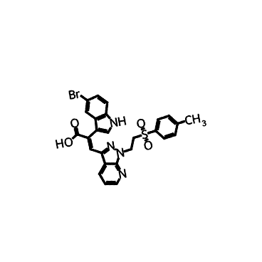 Cc1ccc(S(=O)(=O)CCn2nc(/C=C(/C(=O)O)c3c[nH]c4ccc(Br)cc34)c3cccnc32)cc1